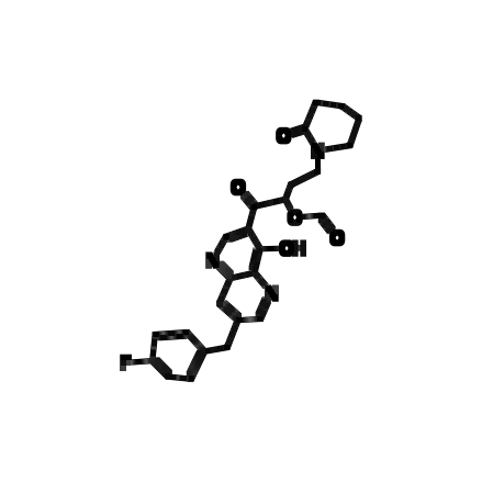 O=COC(CCN1CCCCC1=O)C(=O)c1cnc2cc(Cc3ccc(F)cc3)cnc2c1O